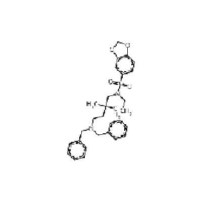 CCN(CC(C)(C)CCN(Cc1ccccc1)Cc1ccccc1)S(=O)(=O)c1ccc2c(c1)OCO2